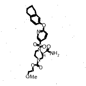 COCCOC(=O)N1CCN(S(=O)(=O)c2ccc(Oc3ccc4c(c3)CCCC4)nc2)[C@@H](C(N)=O)C1